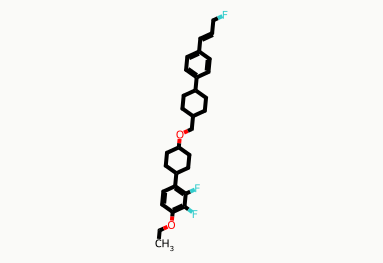 CCOc1ccc(C2CCC(OCC3CCC(c4ccc(/C=C/CF)cc4)CC3)CC2)c(F)c1F